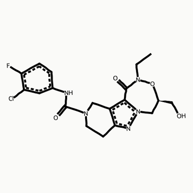 CCN1O[C@@H](CO)Cn2nc3c(c2C1=O)CN(C(=O)Nc1ccc(F)c(Cl)c1)CC3